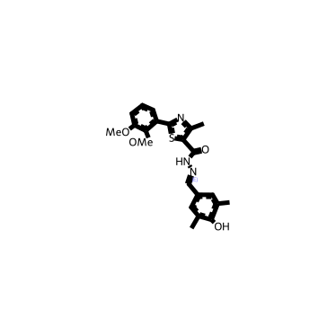 COc1cccc(-c2nc(C)c(C(=O)N/N=C/c3cc(C)c(O)c(C)c3)s2)c1OC